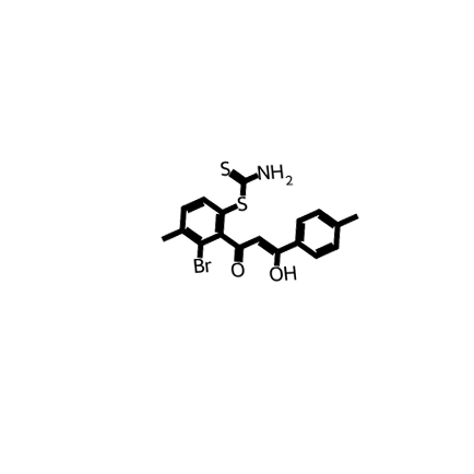 Cc1ccc(C(O)=CC(=O)c2c(SC(N)=S)ccc(C)c2Br)cc1